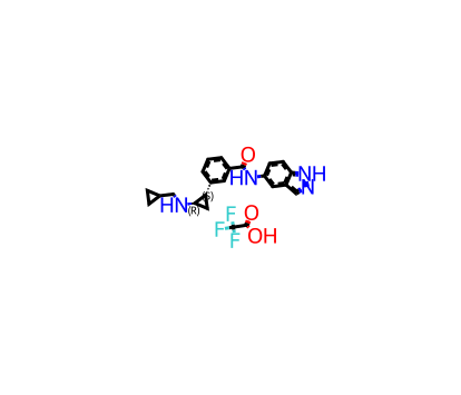 O=C(Nc1ccc2[nH]ncc2c1)c1cccc([C@@H]2C[C@H]2NCC2CC2)c1.O=C(O)C(F)(F)F